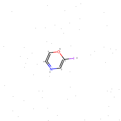 IC1=CN=C=CO1